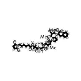 CCC(C)C(C(CC(=O)N1CCC[C@H]1C(OC)C(C)C(=O)NC(Cc1ccccc1)C(=O)OC)OC)N(C)C(=O)C(NC(=O)C(C)(C)N(C)C(=O)CCCCCN1C(=O)C=CC1=O)C(C)C